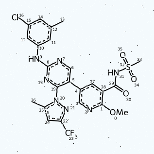 COc1ncc(-c2cnc(Nc3cc(C)cc(Cl)c3)nc2-n2nc(C(F)(F)F)cc2C)cc1C(=O)NS(C)(=O)=O